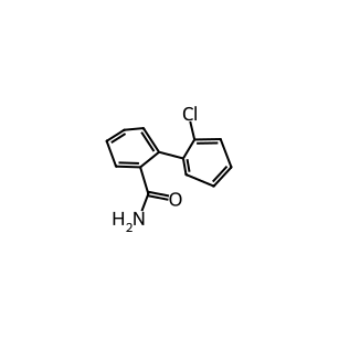 NC(=O)c1ccccc1-c1ccccc1Cl